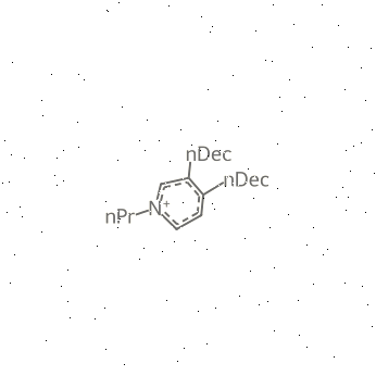 CCCCCCCCCCc1cc[n+](CCC)cc1CCCCCCCCCC